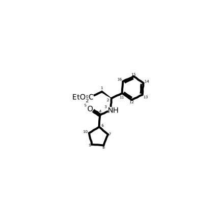 CCOC(=O)C[C@H](NC(=O)C1CCCC1)c1ccccc1